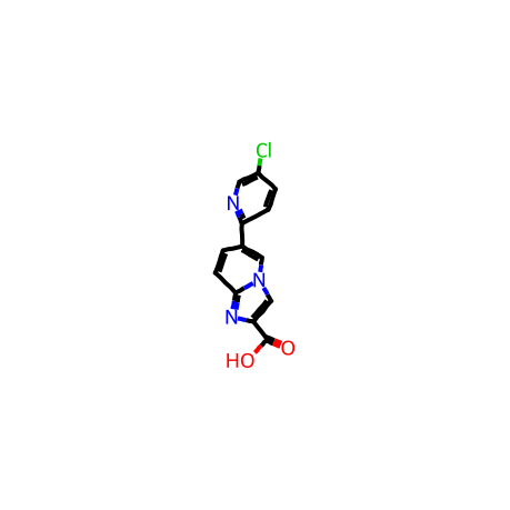 O=C(O)c1cn2cc(-c3ccc(Cl)cn3)ccc2n1